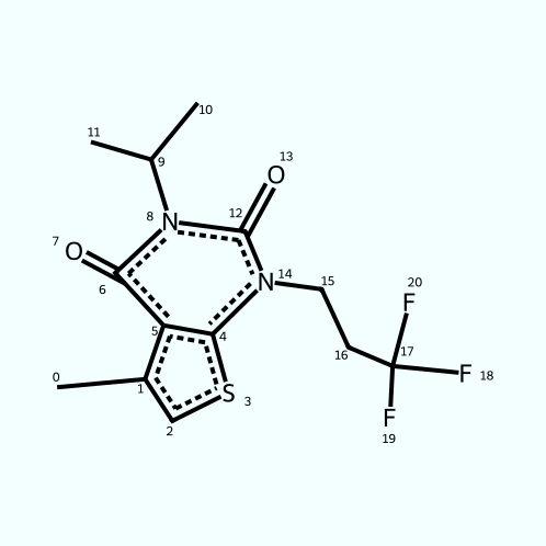 Cc1csc2c1c(=O)n(C(C)C)c(=O)n2CCC(F)(F)F